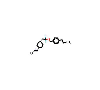 C/C=C/[C@H]1CC[C@H](CC(F)(F)OCc2ccc(CCC)cc2)CC1